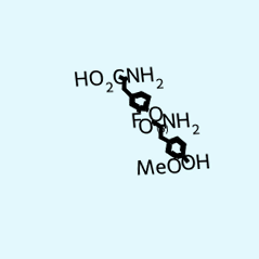 COc1cc(C[C@H](N)C(=O)Oc2ccc(CC(N)C(=O)O)cc2F)ccc1O